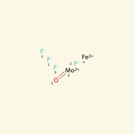 [F-].[F-].[F-].[F-].[Fe+2].[O]=[Mo+2]